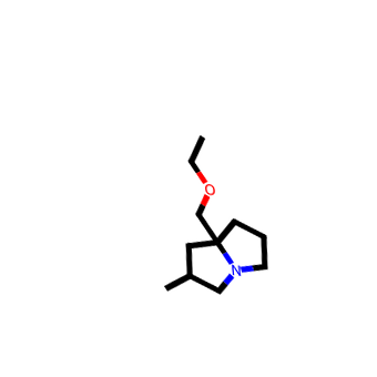 CCOCC12CCCN1CC(C)C2